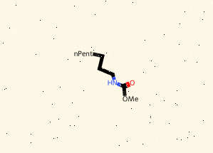 [CH2]CCCCCCCNC(=O)OC